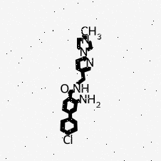 CN1CCN(c2ccc(CCNC(=O)c3ccc(-c4ccc(Cl)cc4)cc3N)cn2)CC1